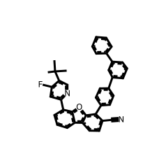 CC(C)(C)c1cnc(-c2cccc3c2oc2c(-c4ccc(-c5cccc(-c6ccccc6)c5)cc4)c(C#N)ccc23)cc1F